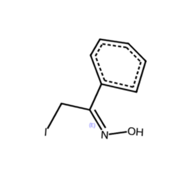 O/N=C(/CI)c1ccccc1